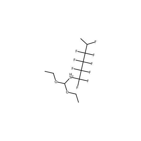 CCOC(OCC)[SiH2]C(F)(F)C(F)(F)C(F)(F)C(F)(F)C(C)F